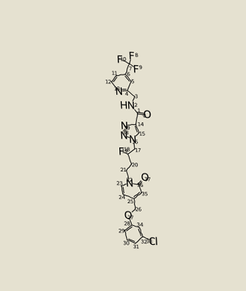 O=C(NCc1cc(C(F)(F)F)ccn1)c1cn(CC(F)CCn2ccc(COc3cccc(Cl)c3)cc2=O)nn1